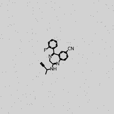 C#CC(C)NC1=Nc2ccc(C#N)cc2C(c2ccccc2F)=NC1